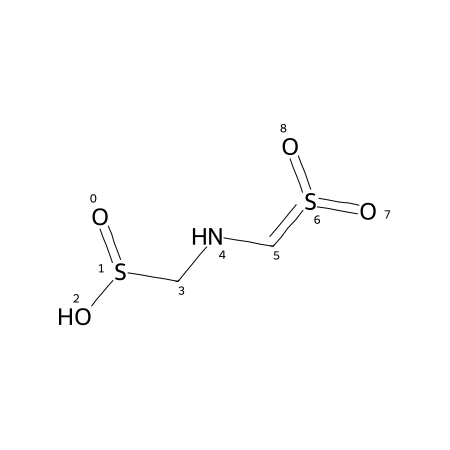 O=S(O)CNC=S(=O)=O